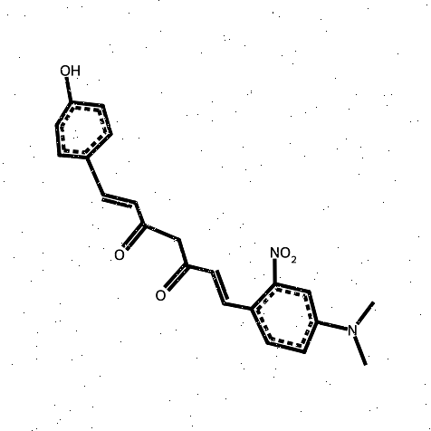 CN(C)c1ccc(C=CC(=O)CC(=O)C=Cc2ccc(O)cc2)c([N+](=O)[O-])c1